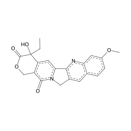 CCC1(O)C(=O)OCc2c1cc1n(c2=O)Cc2cc3ccc(OC)cc3nc2-1